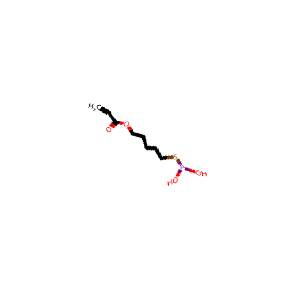 C=CC(=O)OCCCCCSP(O)O